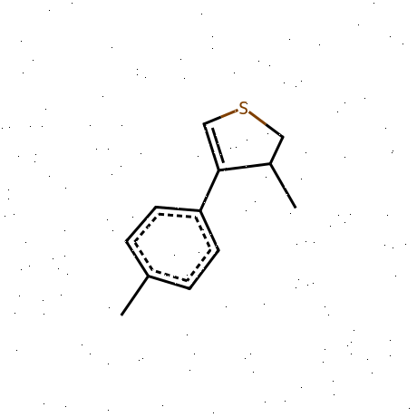 Cc1ccc(C2=CSCC2C)cc1